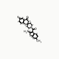 Cc1ccc2c(C(=O)N3CCC4(CC3)CC(=O)c3cc(F)ccc3S4)c(N)sc2n1